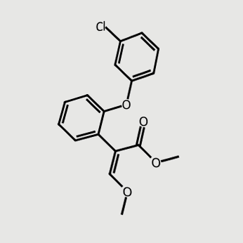 COC=C(C(=O)OC)c1ccccc1Oc1cccc(Cl)c1